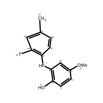 COc1ccc(O)c(Pc2ccc(C)cc2F)c1